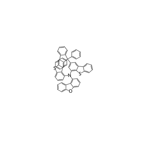 c1ccc(C2(c3cc(N(c4cccc5oc6ccccc6c45)c4cccc5sc6ccccc6c45)c4sc5ccccc5c4c3)c3ccccc3-c3ccccc32)cc1